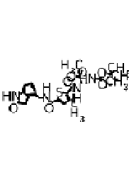 COC(=O)[C@H](CNC(=O)OC(C)(C)C)NC(=O)c1sc(C(=O)NCc2cccc3c2CC(=O)N3)cc1C